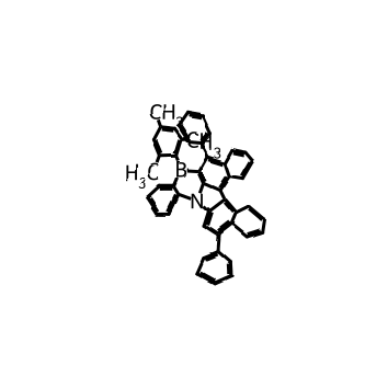 Cc1cc(C)c(B2c3ccccc3-n3c4cc(-c5ccccc5)c5ccccc5c4c4c5ccccc5c(-c5ccccc5)c2c43)c(C)c1